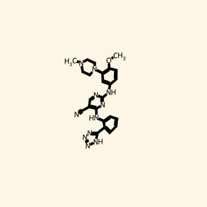 COc1ccc(Nc2ncc(C#N)c(Nc3ccccc3-c3nnn[nH]3)n2)cc1N1CCN(C)CC1